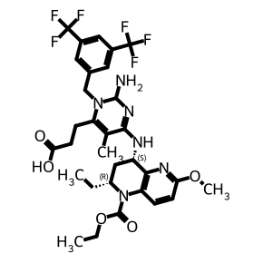 CCOC(=O)N1c2ccc(OC)nc2[C@@H](NC2=NC(N)N(Cc3cc(C(F)(F)F)cc(C(F)(F)F)c3)C(CCC(=O)O)=C2C)C[C@H]1CC